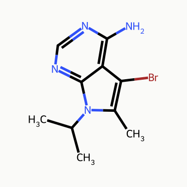 Cc1c(Br)c2c(N)ncnc2n1C(C)C